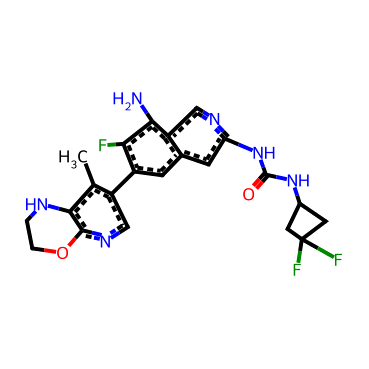 Cc1c(-c2cc3cc(NC(=O)NC4CC(F)(F)C4)ncc3c(N)c2F)cnc2c1NCCO2